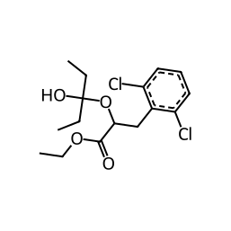 CCOC(=O)C(Cc1c(Cl)cccc1Cl)OC(O)(CC)CC